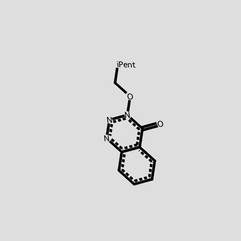 CCCC(C)COn1nnc2ccccc2c1=O